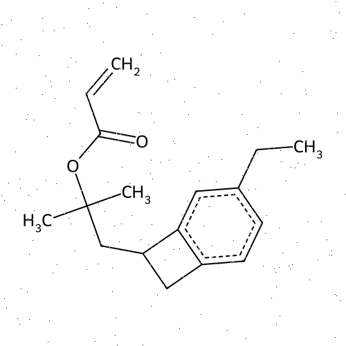 C=CC(=O)OC(C)(C)CC1Cc2ccc(CC)cc21